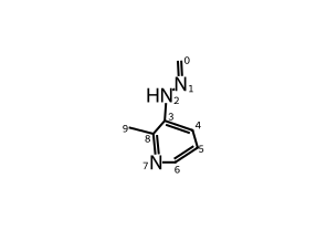 C=NNc1cccnc1C